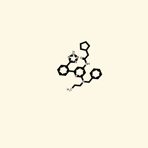 CCCN(Cc1ccccc1)c1cc(NC(=O)CC2CCCC2)cc(-c2ccccc2-c2nn[nH]n2)n1